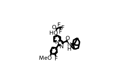 COc1ccc(-c2nc(C(=O)NC34CC5CC(CC(C5)C3)C4)c3ccccn23)cc1F.O=C(O)C(F)(F)F